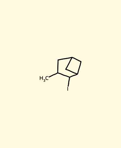 CC1CC2CC(C2)C1I